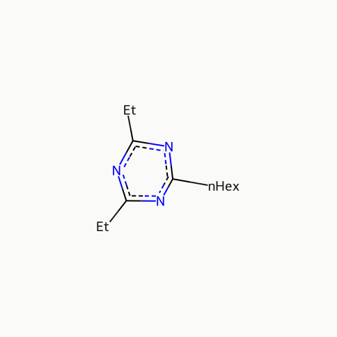 CCCCCCc1nc(CC)nc(CC)n1